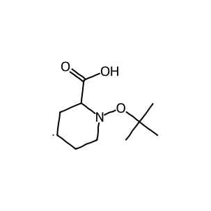 CC(C)(C)ON1CC[CH]CC1C(=O)O